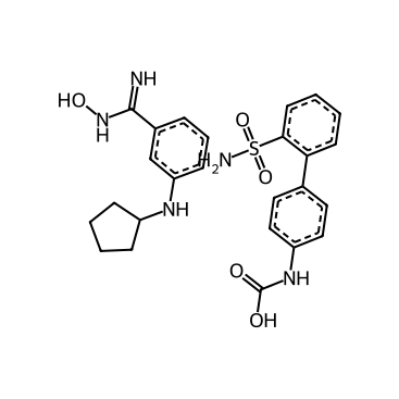 N=C(NO)c1cccc(NC2CCCC2)c1.NS(=O)(=O)c1ccccc1-c1ccc(NC(=O)O)cc1